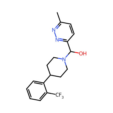 Cc1ccc(C(O)N2CCC(c3ccccc3C(F)(F)F)CC2)nn1